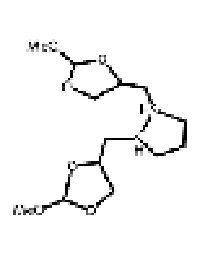 COC1OCC(C[SH]2CCC[SH]2CC2COC(OC)O2)O1